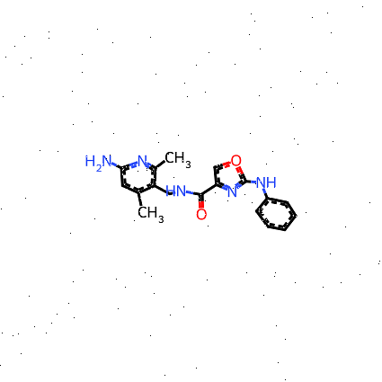 Cc1cc(N)nc(C)c1CNC(=O)c1coc(Nc2ccccc2)n1